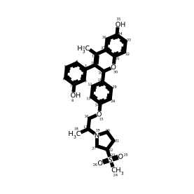 CC1=C(c2cccc(O)c2)C(c2ccc(OCC(C)N3CCC(S(C)(=O)=O)C3)cc2)Oc2ccc(O)cc21